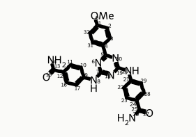 COc1ccc(-c2nc(Nc3ccc(C(N)=O)cc3)nc(Nc3ccc(C(N)=O)cc3)n2)cc1